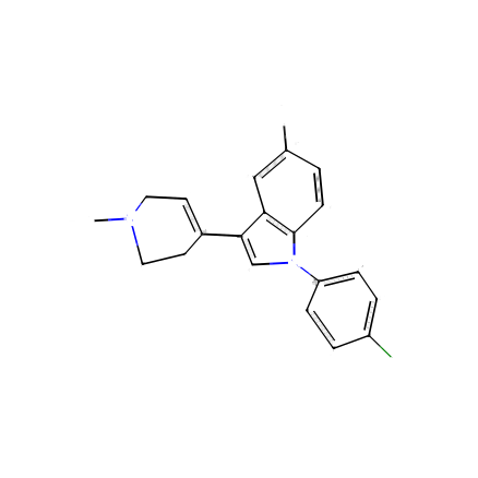 CN1CC=C(c2cn(-c3ccc(F)cc3)c3ccc(C(F)(F)F)cc23)CC1